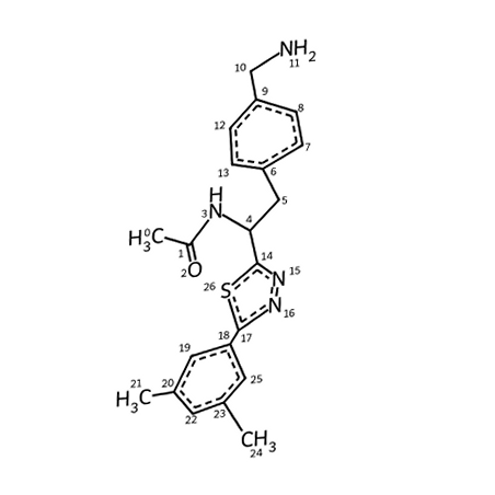 CC(=O)NC(Cc1ccc(CN)cc1)c1nnc(-c2cc(C)cc(C)c2)s1